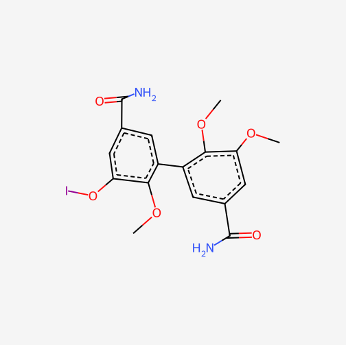 COc1cc(C(N)=O)cc(-c2cc(C(N)=O)cc(OI)c2OC)c1OC